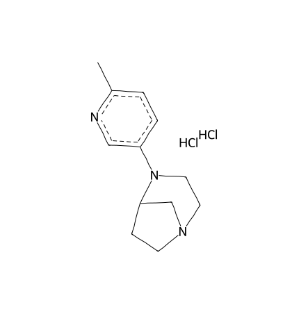 Cc1ccc(N2CCN3CCC2C3)cn1.Cl.Cl